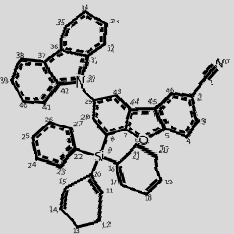 N#Cc1ccc2oc3c([Si](C4=CCCC=C4)(C4=CC=CCC4)c4ccccc4)cc(-n4c5ccccc5c5ccccc54)cc3c2c1